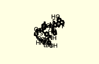 C#Cc1c(F)ccc2cc(O)cc(-c3ncc4c(N5CC6CCC(C5)N6)nc(OCC56CC[C@@H](COC(=O)N7CCC(COCC(=O)N[C@H](C(=O)N8C[C@H](O)C[C@H]8C(=O)N[C@@H](C)c8ccc(-c9scnc9C)cc8)C(C)(C)C)C7)N5CC(=C)C6)nc4c3F)c12